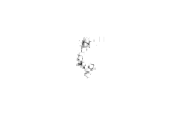 CCc1nc2ccc(OC3CCN(C(=O)OCC4c5ccccc5-c5ccccc54)CC3)cc2c(O)c1C(=O)O